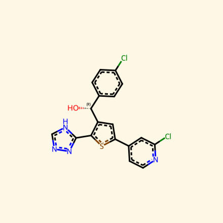 O[C@H](c1ccc(Cl)cc1)c1cc(-c2ccnc(Cl)c2)sc1-c1nnc[nH]1